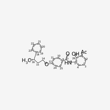 CC(=O)c1cccc(NC(=O)c2ccc(OCCC(C)c3ccccc3)cc2)c1O